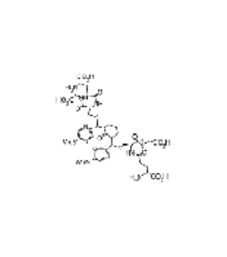 CSc1cnc(C(SC[C@H](NC(=O)CC[C@@H](N)C(=O)O)C(=O)NCC(=O)O)C2CCCC(C(SC[C@H](NC(=O)CC[C@H](N)C(=O)O)C(=O)NCC(=O)O)c3cnc(SC)cn3)C2=O)cn1